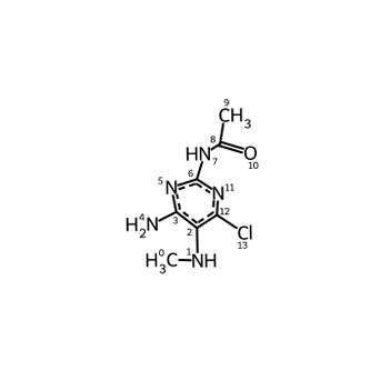 CNc1c(N)nc(NC(C)=O)nc1Cl